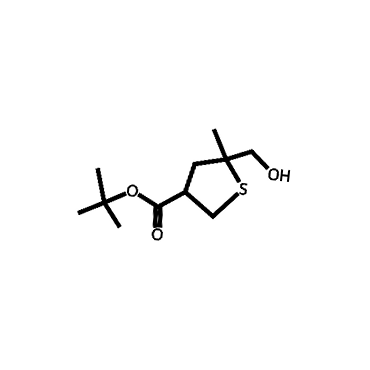 CC(C)(C)OC(=O)C1CSC(C)(CO)C1